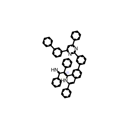 N=C(/C(=C1\NC(c2ccccc2)=Cc2ccc(-c3cccc(-c4nc(-c5ccccc5)cc(-c5cccc(-c6ccccc6)c5)n4)c3)cc21)c1ccccc1)c1ccccc1